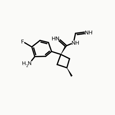 C[C@H]1C[C@](C(=N)NC=N)(c2ccc(F)c(N)c2)C1